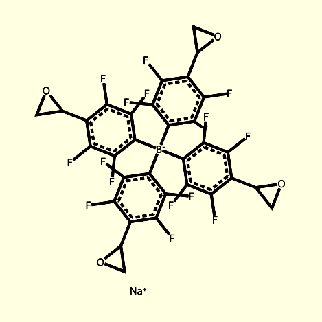 Fc1c(F)c([B-](c2c(F)c(F)c(C3CO3)c(F)c2F)(c2c(F)c(F)c(C3CO3)c(F)c2F)c2c(F)c(F)c(C3CO3)c(F)c2F)c(F)c(F)c1C1CO1.[Na+]